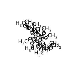 C=C(C)C(=O)Oc1cc(N(CCC)C(=O)C(C(C)C)N2C(=O)c3cc(Oc4cccc(CC)c4)c4c5c(Oc6cccc(CC)c6)cc6c7c(cc(Oc8cccc(CC)c8)c(c8c(Oc9cccc(CC)c9)cc(c3c48)C2=O)c75)C(=O)N(C(C(=O)N(CCC)c2ccnc(OC(=O)C(=C)C)c2)C(C)C)C6=O)ccn1